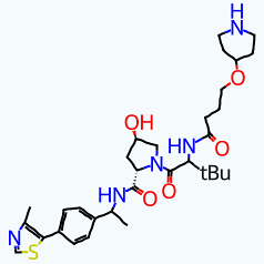 Cc1ncsc1-c1ccc(C(C)NC(=O)[C@@H]2C[C@@H](O)CN2C(=O)C(NC(=O)CCCOC2CCNCC2)C(C)(C)C)cc1